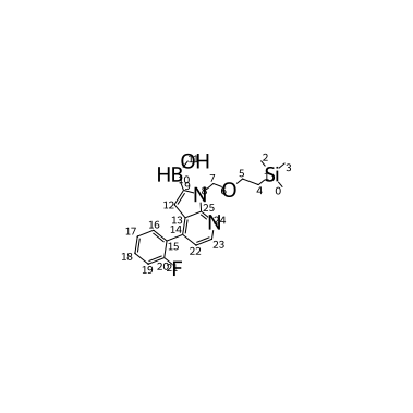 C[Si](C)(C)CCOCn1c(BO)cc2c(-c3ccccc3F)ccnc21